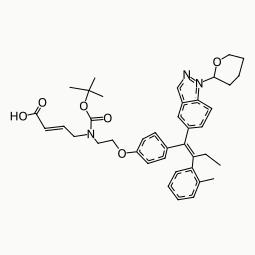 CC/C(=C(/c1ccc(OCCN(CC=CC(=O)O)C(=O)OC(C)(C)C)cc1)c1ccc2c(cnn2C2CCCCO2)c1)c1ccccc1C